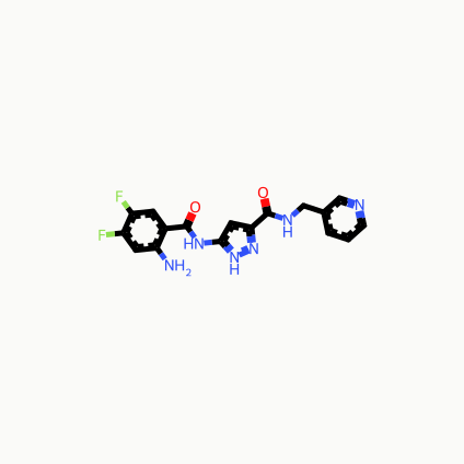 Nc1cc(F)c(F)cc1C(=O)Nc1cc(C(=O)NCc2cccnc2)n[nH]1